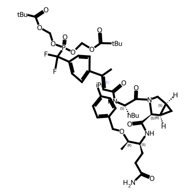 CCCC[C@H](NC(=O)/C=C(\C)c1ccc(C(F)(F)P(=O)(OCOC(=O)C(C)(C)C)OCOC(=O)C(C)(C)C)cc1)C(=O)N1C[C@H]2C[C@H]2[C@H]1C(=O)N[C@@H](CCC(N)=O)[C@@H](C)OCc1ccc(C(C)C)cc1